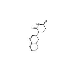 O=C1CCC(N2C=Nc3ccccc3C2)C(=O)N1